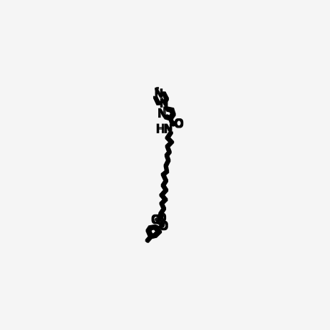 Cc1ccc(S(=O)(=O)OCCCCCCCCCCCCCCCCCCNC(=O)c2ccc(N3CCN(C)CC3)nc2)cc1